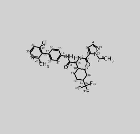 CCn1nccc1C(=O)N[C@H](C(=O)Nc1ccc(-c2c(Cl)ccnc2C)cc1)C1CCC(C(F)(F)F)CC1